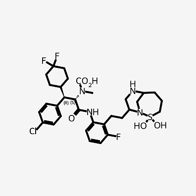 CN(C(=O)O)[C@H](C(=O)Nc1cccc(F)c1CCC1CNC2CCCS(O)(O)N1C2)[C@@H](c1ccc(Cl)cc1)C1CCC(F)(F)CC1